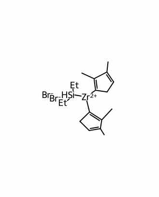 CC[SiH](CC)[Zr+2]([C]1=C(C)C(C)=CC1)[C]1=C(C)C(C)=CC1.[Br-].[Br-]